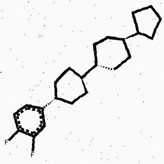 Fc1ccc([C@H]2CC[C@H]([C@H]3CC[C@H](C4CCCC4)CC3)CC2)cc1F